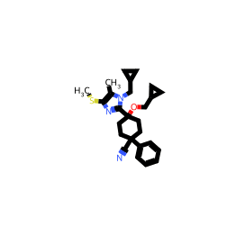 CSc1nc(C2(OCC3CC3)CCC(C#N)(c3ccccc3)CC2)n(CC2CC2)c1C